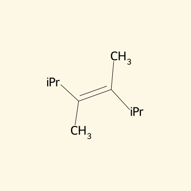 CC(=C(C)C(C)C)C(C)C